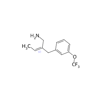 C/C=C(\CN)Cc1cccc(OC(F)(F)F)c1